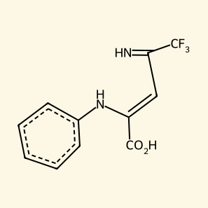 N=C(/C=C(\Nc1ccccc1)C(=O)O)C(F)(F)F